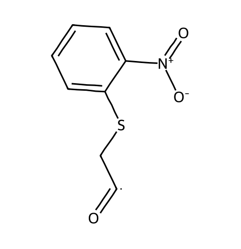 O=[C]CSc1ccccc1[N+](=O)[O-]